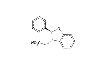 O=C(O)C[C@H]1c2ccccc2O[C@@H]1c1ccccc1